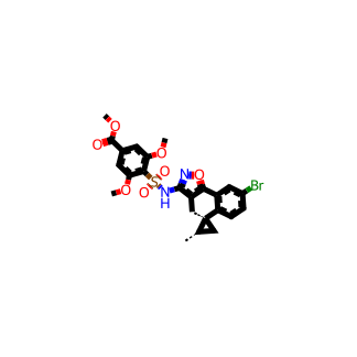 COC(=O)c1cc(OC)c(S(=O)(=O)Nc2noc3c2C[C@@]2(C[C@@H]2C)c2ccc(Br)cc2-3)c(OC)c1